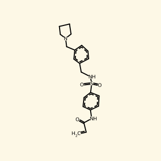 C=CC(=O)Nc1ccc(S(=O)(=O)NCc2cccc(CN3CCCC3)c2)cc1